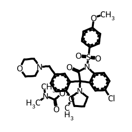 COc1ccc(S(=O)(=O)N2C(=O)C(c3cc(CN4CCOCC4)ccc3OC)(N3CCC[C@@H]3OC(=O)N(C)C)c3cc(Cl)ccc32)cc1